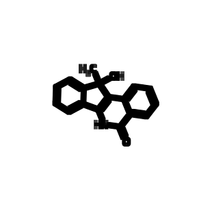 CC1(O)c2ccccc2-c2[nH]c(=O)c3ccccc3c21